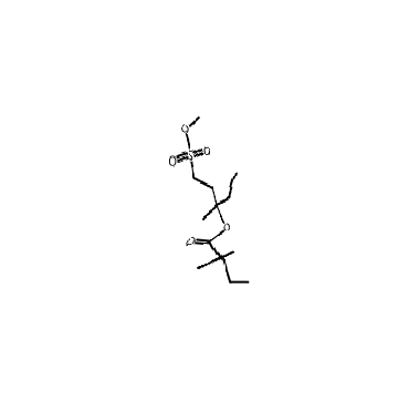 CCC(C)(CCS(=O)(=O)OC)OC(=O)C(C)(C)CC